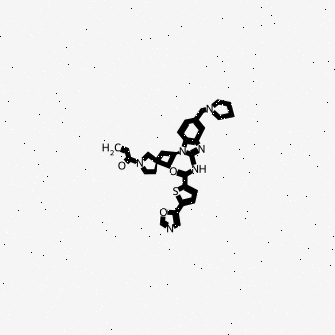 C=CC(=O)N1CC[C@]2(C1)C[C@H](n1c(NC(=O)c3ccc(-c4cnco4)s3)nc3cc(CN4CCCC4)ccc31)C2